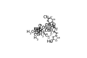 CC(C)(C)[Si](C)(C)OC(CC=C=CC[C@H]1[C@@H](O)CC[C@@H]1C=CCCOc1ccc(Cl)cc1)(O[Si](C)(C)C(C)(C)C)C(=O)O